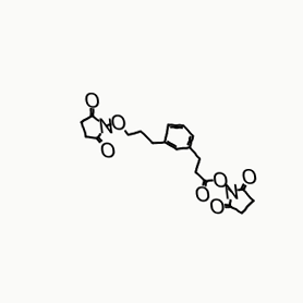 O=C(CCc1cccc(CCCON2C(=O)CCC2=O)c1)ON1C(=O)CCC1=O